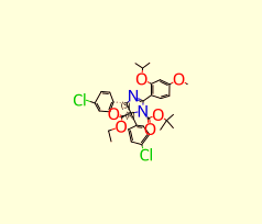 CCOC(=O)[C@@]1(c2ccc(Cl)cc2)[C@H](c2ccc(Cl)cc2)N=C(c2ccc(OC)cc2OC(C)C)N1C(=O)OC(C)(C)C